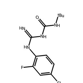 CC(C)(C)NC(=O)NC(=N)Nc1ccc(Cl)cc1F